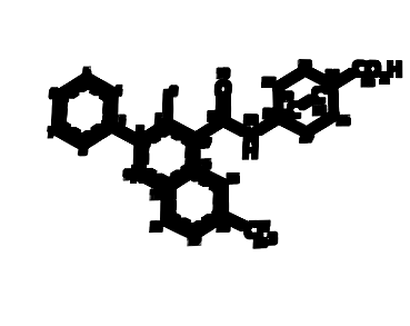 Cc1c(-c2ccccc2)nc2ccc(C(F)(F)F)cc2c1C(=O)NC12CCC(C(=O)O)(CC1)CC2